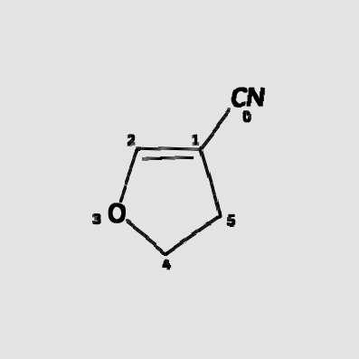 N#CC1=COCC1